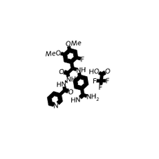 COc1cc(F)c(C(Nc2ccc(C(=N)N)cc2)C(=O)NNC(=O)c2cccnc2)cc1OC.O=C(O)C(F)(F)F